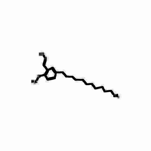 CCCCCCCCCCCCc1ccc(OC)c(C=NO)c1